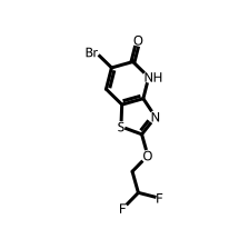 O=c1[nH]c2nc(OCC(F)F)sc2cc1Br